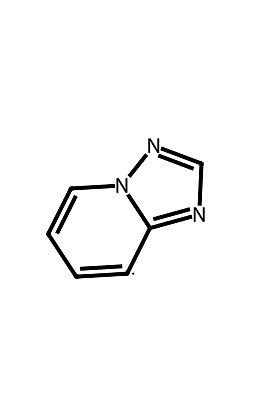 [c]1cccn2ncnc12